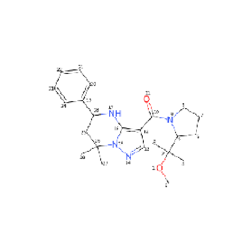 COC(C)(C)C1CCCN1C(=O)c1cnn2c1NC(c1ccccc1)CC2(C)C